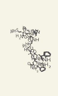 CSCC[C@H](NC(=O)[C@H](CC(C)C)NC(=O)[C@H](Cc1c[nH]cn1)NC(=O)CNC(=O)[C@@H](NC(=O)[C@H](C)NC(=O)[C@H](Cc1c[nH]c2ccccc12)NC(=O)[C@H](CCC(N)=O)NC(=O)c1ccccc1N)C(C)C)C(N)=O